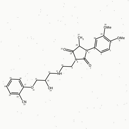 COc1ccc(N2C(=O)N(CCNCC(O)COc3ccccc3C#N)C(=O)C2C)cc1OC